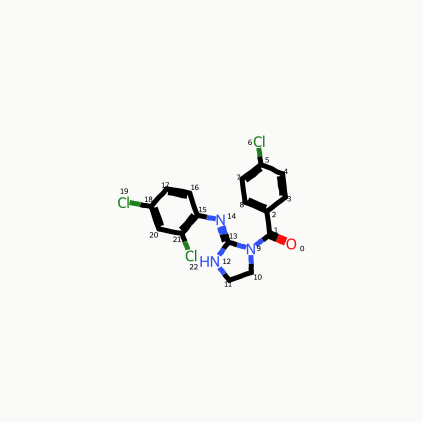 O=C(c1ccc(Cl)cc1)N1CCNC1=Nc1ccc(Cl)cc1Cl